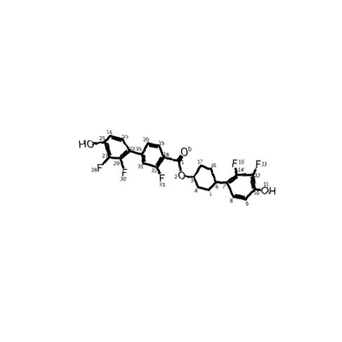 O=C(OC1CCC(c2ccc(O)c(F)c2F)CC1)c1ccc(-c2ccc(O)c(F)c2F)cc1F